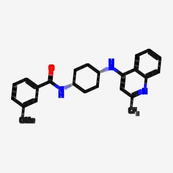 COc1cccc(C(=O)N[C@H]2CC[C@@H](Nc3cc(C(F)(F)F)nc4ccccc34)CC2)c1